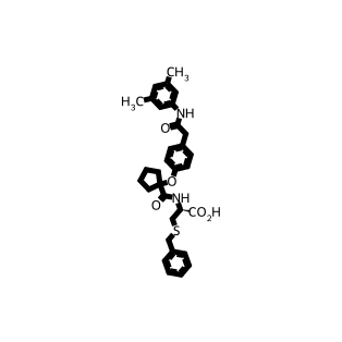 Cc1cc(C)cc(NC(=O)Cc2ccc(OC3(C(=O)N[C@@H](CSCc4ccccc4)C(=O)O)CCCC3)cc2)c1